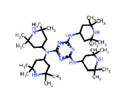 CC1(C)CC(Nc2nc(NC3CC(C)(C)NC(C)(C)C3)nc(N(C3CC(C)(C)NC(C)(C)C3)C3CC(C)(C)NC(C)(C)C3)n2)CC(C)(C)N1